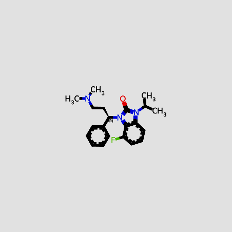 CC(C)n1c(=O)n([C@H](CCN(C)C)c2ccccc2)c2c(F)cccc21